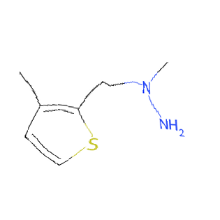 Cc1ccsc1CN(C)N